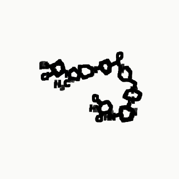 CCc1ccc(N2CC3(CCN(c4ccc(C(=O)N5CCC(CN6CCN(c7cc(N[C@H]8CCC(=O)NC8=O)ccn7)CC6)CC5)cc4)CC3)C[C@@H]2C)cc1Cl